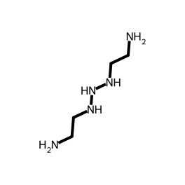 NCCNNNCCN